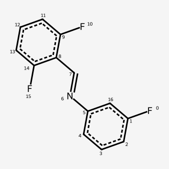 Fc1cccc(N=Cc2c(F)cccc2F)c1